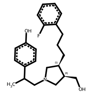 CC(CN1C[C@@H](CCCc2ccccc2F)[C@@H](CO)C1)c1ccc(O)cc1